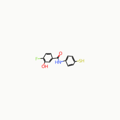 O=C(Nc1ccc(S)cc1)c1ccc(F)c(O)c1